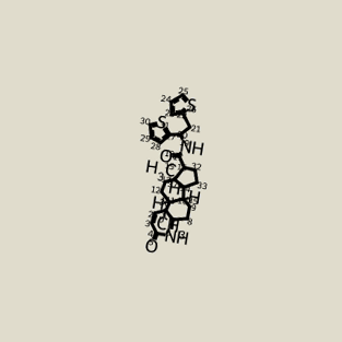 C[C@]12C=CC(=O)NC1CC[C@@H]1[C@H]2CC[C@]2(C)C(C(=O)NC(Cc3cccs3)c3cccs3)CC[C@@H]12